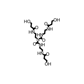 O=C(CCO)NCCNC(=O)N(CCNC(=O)CCO)C(=O)NCCNC(=O)CCO